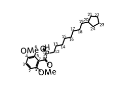 COc1cccc(OC)c1C(=O)[PH](=O)CCCCCCCCC1CCCC1